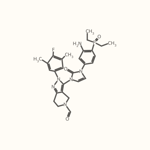 CCP(=O)(CC)c1ccc(-n2ccn(-c3c4c(nn3-c3cc(C)c(F)c(C)c3)CCN(C=O)C4)c2=O)cc1N